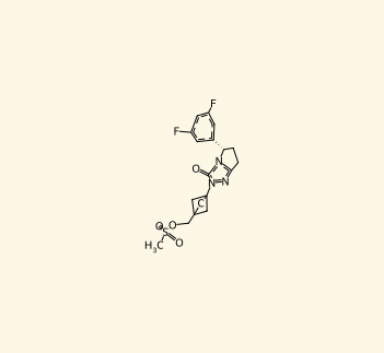 CS(=O)(=O)OCC12CC(n3nc4n(c3=O)[C@H](c3cc(F)cc(F)c3)CC4)(C1)C2